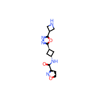 O=C(N[C@H]1C[C@H](c2nnc(C3CNC3)o2)C1)c1ccon1